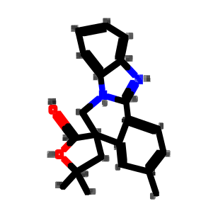 Cc1ccc2c(c1)C1(Cn3c-2nc2ccccc23)CC(C)(C)OC1=O